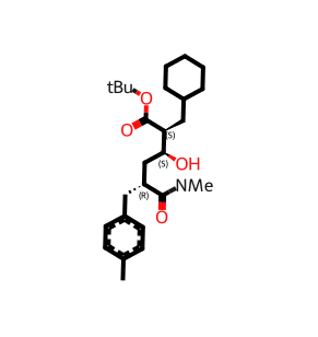 CNC(=O)[C@H](Cc1ccc(C)cc1)C[C@H](O)[C@H](CC1CCCCC1)C(=O)OC(C)(C)C